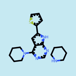 C1CCNCC1.c1csc(-c2cc3c(N4CCCCC4)ncnc3[nH]2)c1